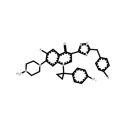 CN1CCN(c2cc3c(cc2F)c(=O)c(-c2noc(Cc4ccc(F)cc4)n2)cn3C2(c3ccc(C(F)(F)F)cc3)CC2)CC1